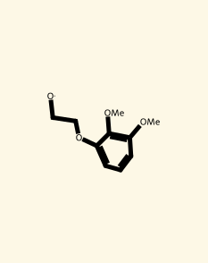 COc1cccc(OCC[O])c1OC